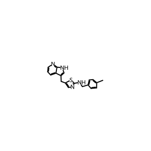 Cc1ccc(CNc2ncc(Cc3c[nH]c4ncccc34)s2)cc1